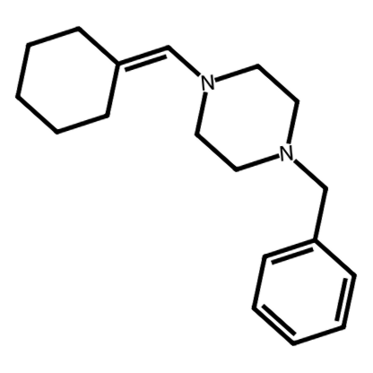 C(=C1CCCCC1)N1CCN(Cc2ccccc2)CC1